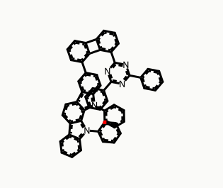 c1ccc(-c2nc(-c3ccccc3)nc(-c3cccc4c3-c3c(-c5ccc6c(c5)c5ccc7c8ccccc8n(-c8ccccc8)c7c5n6-c5ccccc5)cccc3-4)n2)cc1